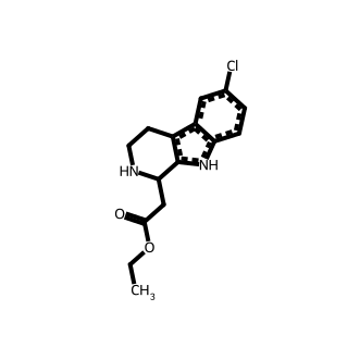 CCOC(=O)CC1NCCc2c1[nH]c1ccc(Cl)cc21